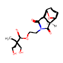 CC(CO)(CO)C(=O)OCCN1C(=O)C2C3C=CC(O3)[C@H]2C1=O